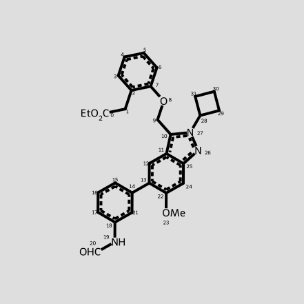 CCOC(=O)Cc1ccccc1OCc1c2cc(-c3cccc(NC=O)c3)c(OC)cc2nn1C1CCC1